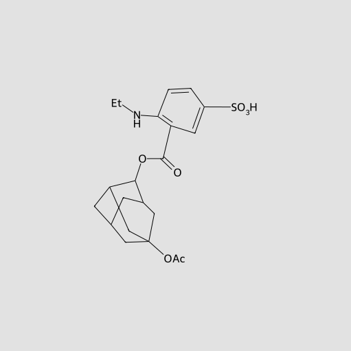 CCNc1ccc(S(=O)(=O)O)cc1C(=O)OC1C2CC3CC1CC(OC(C)=O)(C3)C2